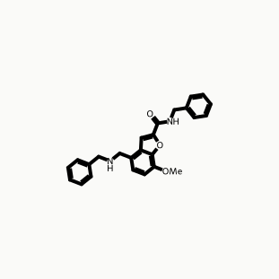 COc1ccc(CNCc2ccccc2)c2cc(C(=O)NCc3ccccc3)oc12